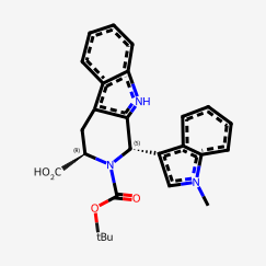 Cn1cc([C@H]2c3[nH]c4ccccc4c3C[C@H](C(=O)O)N2C(=O)OC(C)(C)C)c2ccccc21